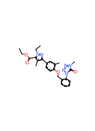 CCOC(=O)c1c(C)c(-c2ccc(OCc3ccccc3-n3nnn(C)c3=O)c(C)c2)nn1CC